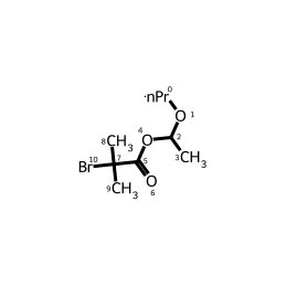 CC[CH]OC(C)OC(=O)C(C)(C)Br